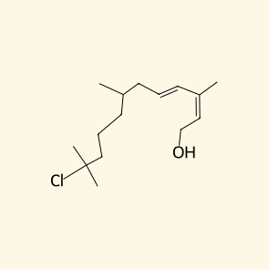 CC(C=CCC(C)CCCC(C)(C)Cl)=CCO